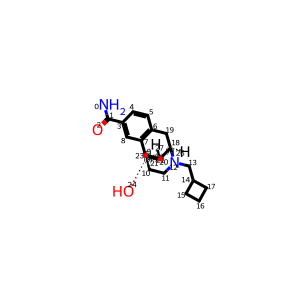 NC(=O)c1ccc2c(c1)[C@]13CCN(CC4CCC4)[C@H](C2)[C@@H]1CC[C@H](O)C3